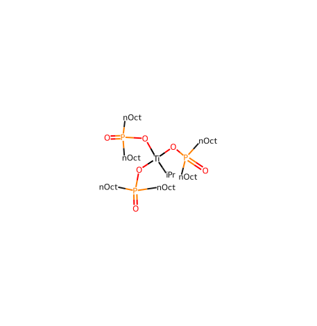 CCCCCCCCP(=O)(CCCCCCCC)[O][Ti]([O]P(=O)(CCCCCCCC)CCCCCCCC)([O]P(=O)(CCCCCCCC)CCCCCCCC)[CH](C)C